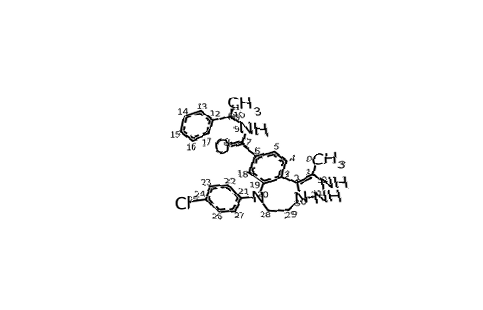 CC1=C2c3ccc(C(=O)N[C@H](C)c4ccccc4)cc3N(c3ccc(Cl)cc3)CCN2NN1